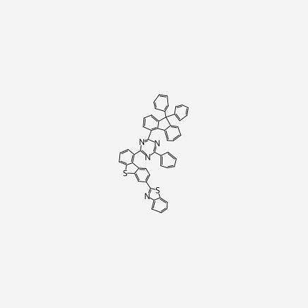 c1ccc(-c2nc(-c3cccc4c3-c3ccccc3C4(c3ccccc3)c3ccccc3)nc(-c3cccc4sc5cc(-c6nc7ccccc7s6)ccc5c34)n2)cc1